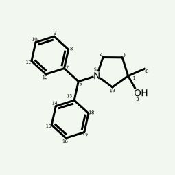 CC1(O)CCN(C(c2ccccc2)c2ccccc2)C1